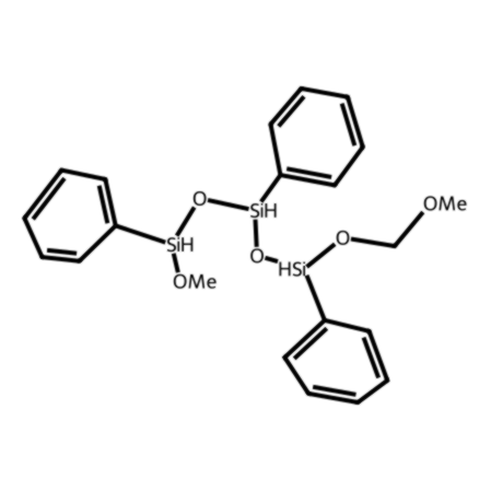 COCO[SiH](O[SiH](O[SiH](OC)c1ccccc1)c1ccccc1)c1ccccc1